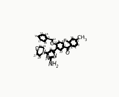 Cc1ccc(C(=O)c2ccc(OCc3ccccc3)c(-c3cc(N4CCOCC4)nc(N)n3)c2)c(F)c1